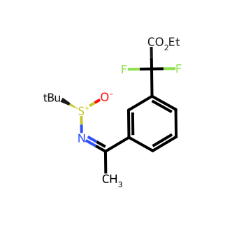 CCOC(=O)C(F)(F)c1cccc(/C(C)=N\[S@+]([O-])C(C)(C)C)c1